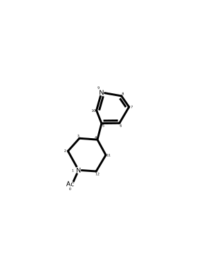 CC(=O)N1CCC(c2cccnc2)CC1